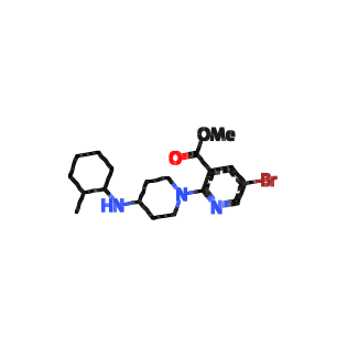 COC(=O)c1cc(Br)cnc1N1CCC(NC2CCCCC2C)CC1